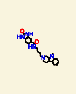 Cn1c2c(c3ccccc31)CCN(CCCCNC(=O)c1ccc3[nH]c(=O)[nH]c3c1)C2